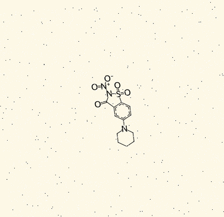 O=C1c2cc(N3CCCCC3)ccc2S(=O)(=O)N1[N+](=O)[O-]